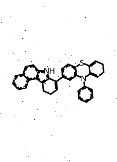 C1=C2Sc3ccc(C4=CCCc5c4[nH]c4ccc6ccccc6c54)cc3N(c3ccccc3)C2=CCC1